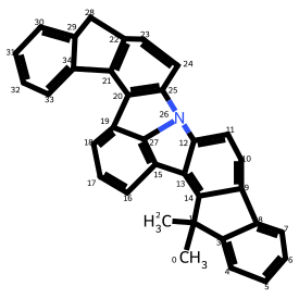 CC1(C)c2ccccc2-c2ccc3c(c21)c1cccc2c4c5c(ccc4n3c21)Cc1ccccc1-5